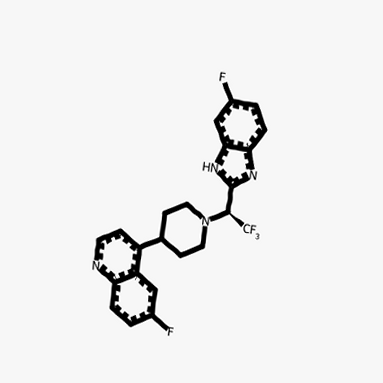 Fc1ccc2nc([C@H](N3CCC(c4ccnc5ccc(F)cc45)CC3)C(F)(F)F)[nH]c2c1